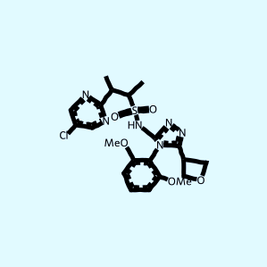 COc1cccc(OC)c1-n1c(NS(=O)(=O)C(C)C(C)c2ncc(Cl)cn2)nnc1C1COC1